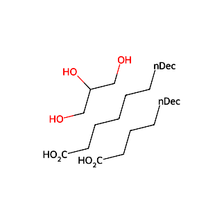 CCCCCCCCCCCCCC(=O)O.CCCCCCCCCCCCCCCC(=O)O.OCC(O)CO